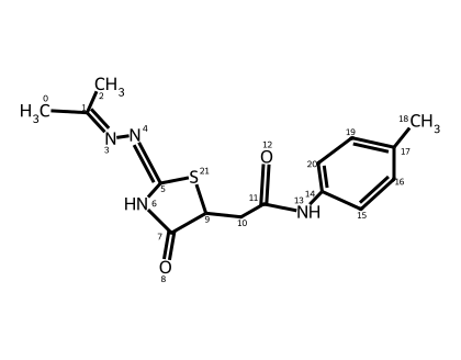 CC(C)=N/N=C1\NC(=O)C(CC(=O)Nc2ccc(C)cc2)S1